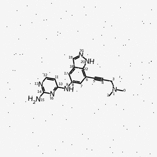 CN(C)CC#Cc1cc(Nc2ccnc(N)n2)cc2cn[nH]c12